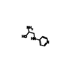 NC(O)CNc1ccncc1